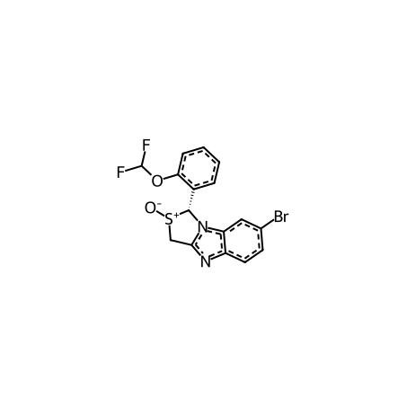 [O-][S+]1Cc2nc3ccc(Br)cc3n2[C@H]1c1ccccc1OC(F)F